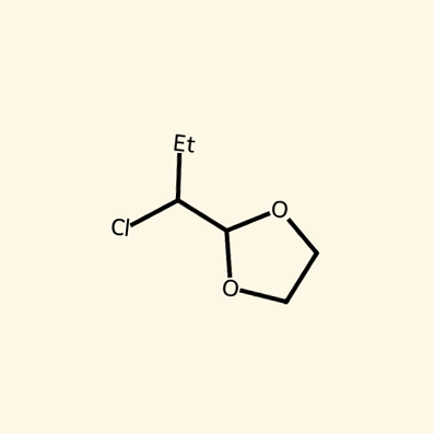 [CH2]CC(Cl)C1OCCO1